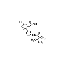 CC(C)[C@H](C)C(=O)NCc1cccc(C(=O)N(CC(=O)O)CC(=O)O)c1